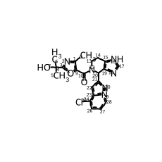 Cc1nc(C(C)(C)O)oc1C(=O)N1CCc2[nH]cnc2C1c1cc2c(Cl)cccn2n1